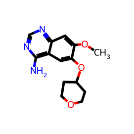 COc1cc2ncnc(N)c2cc1OC1CCOCC1